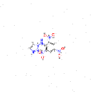 O=[N+]([O-])c1cc([N+](=O)[O-])c(Nn2ccnn2)c([N+](=O)[O-])c1